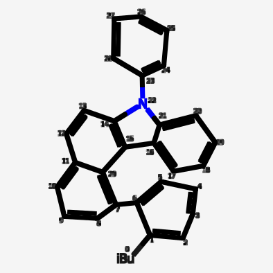 CCC(C)c1ccccc1-c1cccc2ccc3c(c4ccccc4n3-c3ccccc3)c12